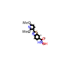 COc1ccc(-c2nc3ccc(C(=O)NO)cc3s2)c(OC)n1